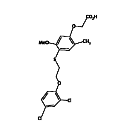 COc1cc(OCC(=O)O)c(C)cc1SCCOc1ccc(Cl)cc1Cl